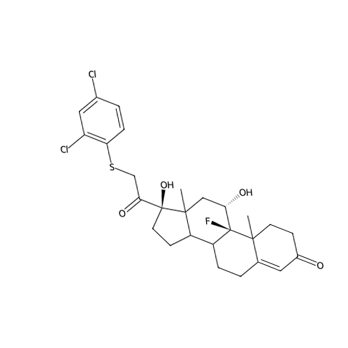 CC12C[C@H](O)[C@@]3(F)C(CCC4=CC(=O)CCC43C)C1CC[C@]2(O)C(=O)CSc1ccc(Cl)cc1Cl